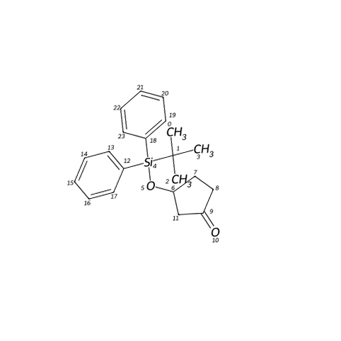 CC(C)(C)[Si](OC1CCC(=O)C1)(c1ccccc1)c1ccccc1